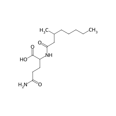 CCCCCC(C)CC(=O)NC(CCC(N)=O)C(=O)O